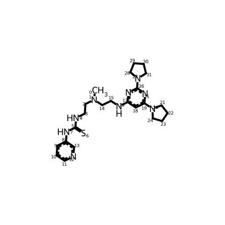 CN(CCNC(=S)Nc1cccnc1)CCNc1cc(N2CCCC2)nc(N2CCCC2)n1